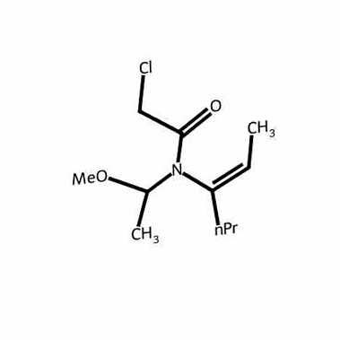 CC=C(CCC)N(C(=O)CCl)C(C)OC